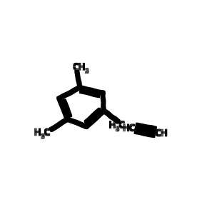 C#C.Cc1cc(C)cc(C)c1